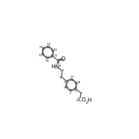 O=C(O)Cc1ccc(CCNC(=O)c2ccccc2)cc1